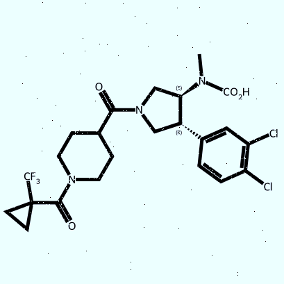 CN(C(=O)O)[C@@H]1CN(C(=O)C2CCN(C(=O)C3(C(F)(F)F)CC3)CC2)C[C@H]1c1ccc(Cl)c(Cl)c1